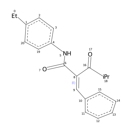 CCc1ccc(NC(=O)/C(=C/c2ccccc2)C(=O)C(C)C)cc1